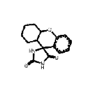 O=C1NC(=O)C2(N1)c1ccccc1OC1CCCCC12